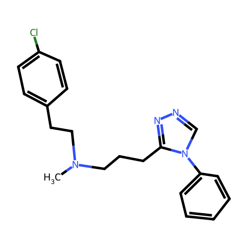 CN(CCCc1nncn1-c1ccccc1)CCc1ccc(Cl)cc1